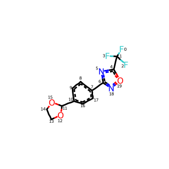 FC(F)(F)c1nc(-c2ccc(C3OCCO3)cc2)no1